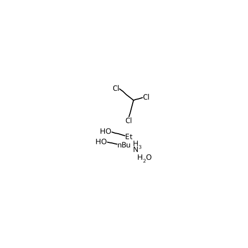 CCCCO.CCO.ClC(Cl)Cl.N.O